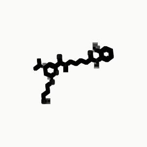 CC(C)[C@@H]1C=C(C(=O)NCCCCC(=O)Nc2ccccc2N)O[C@H](OCCCO)C1